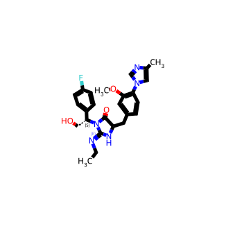 CC/N=C1\NC(Cc2ccc(-n3cnc(C)c3)c(OC)c2)C(=O)N1[C@H](CO)c1ccc(F)cc1